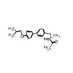 CC(=O)N[C@@H](C)Cc1ccc(-c2ccc(OCC(C)C)cc2)cc1